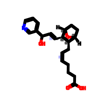 O=C(O)CCC/C=C\C[C@H]1[C@H](/C=C/C(O)c2cccnc2)[C@@H]2CC[C@H]1O2